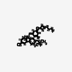 CC(C)(F)CN1CCc2c([nH]c3ccc(Cl)cc23)[C@@H]1c1c(F)cc(OC2CN(CCCF)C2)cc1F